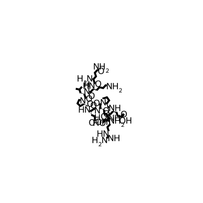 CC(C)C[C@H](NC(=O)[C@H](CCCCN)NC(=O)[C@@H](N)CCC(N)=O)C(=O)N1CCC[C@H]1C(=O)N[C@@H](CCC(=O)O)C(=O)N[C@@H](CCCCN)C(=O)N1CCC[C@H]1C(=O)N[C@@H](CCC(=O)O)C(=O)N[C@@H](CCCNC(=N)N)C(=O)O